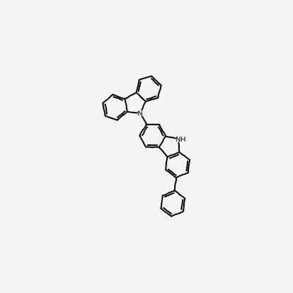 c1ccc(-c2ccc3[nH]c4cc(-n5c6ccccc6c6ccccc65)ccc4c3c2)cc1